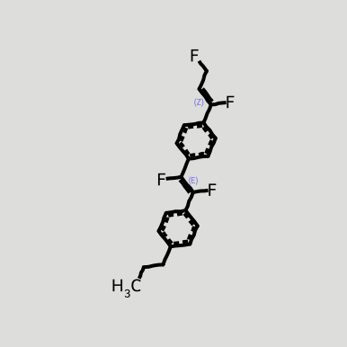 CCCc1ccc(/C(F)=C(\F)c2ccc(/C(F)=C/CF)cc2)cc1